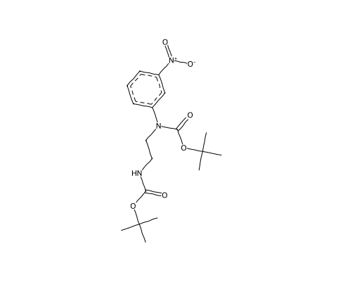 CC(C)(C)OC(=O)NCCN(C(=O)OC(C)(C)C)c1cccc([N+](=O)[O-])c1